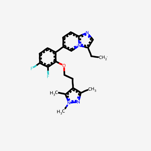 [CH2]Cc1cnc2ccc(-c3ccc(F)c(F)c3OCCc3c(C)nn(C)c3C)cn12